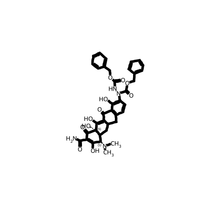 CN(C)[C@@H]1C(O)=C(C(N)=O)C(=O)[C@@]2(O)C(O)=C3C(=O)c4c(ccc(N(NC(=O)OCc5ccccc5)C(=O)OCc5ccccc5)c4O)CC3CC12